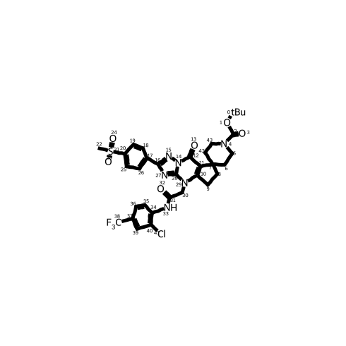 CC(C)(C)OC(=O)N1CCC2(CCc3c2c(=O)n2nc(-c4ccc(S(C)(=O)=O)cc4)nc2n3CC(=O)Nc2ccc(C(F)(F)F)cc2Cl)CC1